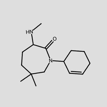 CNC1CCC(C)(C)CN(C2C=CCCC2)C1=O